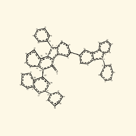 O=c1c2c3cc(-c4ccc5c(c4)c4ccccc4n5-c4ccccc4)ccc3n(-c3ccccc3)c2c2ccccc2n1-c1nc(-c2ccccc2)nc2ccccc12